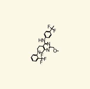 COCc1nc2c(c(Nc3ccc(C(C)(F)F)cc3)n1)CCN(c1ccccc1C(F)(F)F)C2